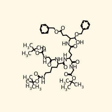 CC(C)(C)OC(=O)CNC(=O)C(CCC(=O)NC(CCC(=O)OCc1ccccc1)C(O)OCc1ccccc1)NC(=O)C(CCCCNC(=O)OC(C)(C)C)NC(=O)CNC(=O)OC(C)(C)C